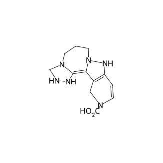 O=C(O)N1C=CC2=C(C1)C1=C3NNCN3CCCN1N2